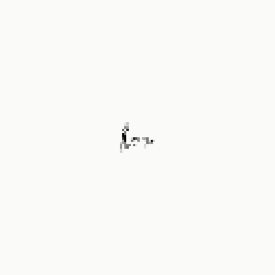 [Mn].[Nb].[O]=[Pb]